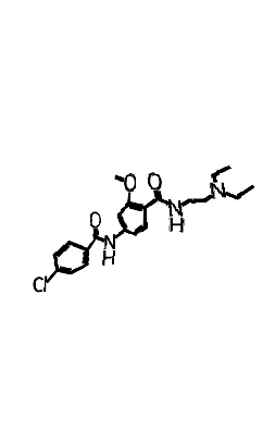 CCN(CC)CCNC(=O)c1ccc(NC(=O)c2ccc(Cl)cc2)cc1OC